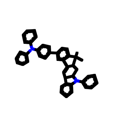 CC1(C)c2ccc(-c3ccc(N(c4ccccc4)c4ccccc4)cc3)cc2C2=CC3c4ccccc4N(c4ccccc4)C3CC21